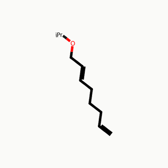 C=CCCCC=CCOC(C)C